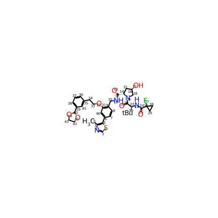 Cc1ncsc1-c1ccc(CNC(=O)[C@@H]2C[C@@H](O)CN2C(=O)[C@@H](NC(=O)C2(F)CC2)C(C)(C)C)c(OCCc2cccc(C3OCCO3)c2)c1